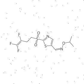 CC(C)O/N=C\c1cnc(S(=O)(=O)CCC(F)=C(F)F)s1